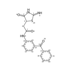 N=C1NC(=O)C(CC(=O)Nc2cccc(C(=O)c3ccccc3)c2)S1